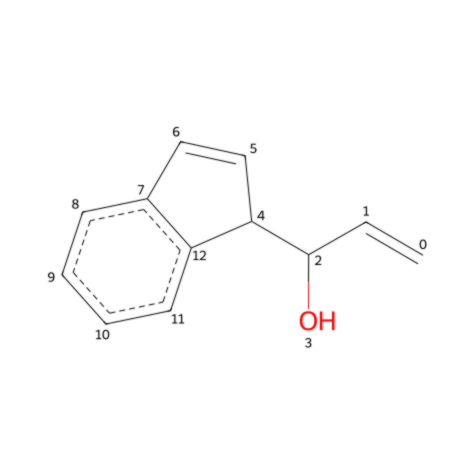 C=CC(O)C1C=Cc2ccccc21